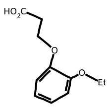 CCOc1ccccc1OCCC(=O)O